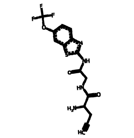 C#CCC(N)C(=O)NCC(=O)Nc1nc2ccc(OC(F)(F)F)cc2s1